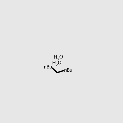 CCCCCCCCC.O.O